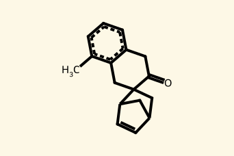 Cc1cccc2c1CC1(CC3C=CC1C3)C(=O)C2